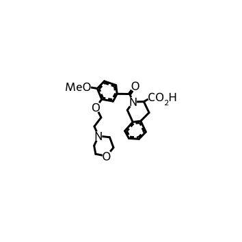 COc1ccc(C(=O)N2Cc3ccccc3CC2C(=O)O)cc1OCCN1CCOCC1